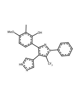 COc1ccc(-c2nn(-c3ccccc3)c(C(F)(F)F)c2-c2cn[nH]c2)c(O)c1C